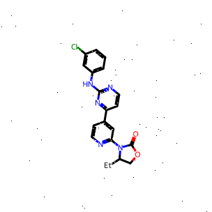 CCC1COC(=O)N1c1cc(-c2ccnc(Nc3cccc(Cl)c3)n2)ccn1